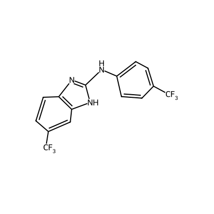 FC(F)(F)c1ccc(Nc2nc3ccc(C(F)(F)F)cc3[nH]2)cc1